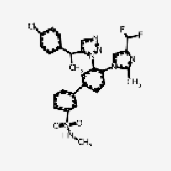 CNS(=O)(=O)c1cccc(-c2ccc(-n3cc(C(F)F)nc3C)c(-n3nncc3C(C)c3ccc(Cl)cc3)c2)c1